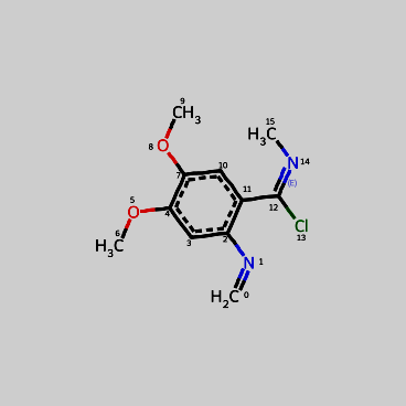 C=Nc1cc(OC)c(OC)cc1/C(Cl)=N\C